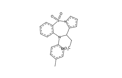 CCOC(=O)CC1c2cccn2S(=O)(=O)c2ccccc2N1c1ccc(C)cc1